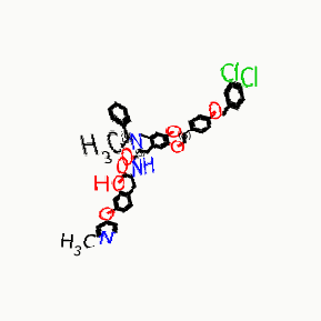 CC[C@@H](c1ccccc1)N1Cc2cc3c(cc2C[C@H]1C(=O)NC(Cc1ccc(Oc2ccnc(C)c2)cc1)C(=O)O)OC[C@H](c1ccc(OCc2ccc(Cl)c(Cl)c2)cc1)O3